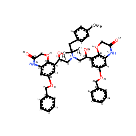 COc1ccc(CC(C)(C)N(CC(O)c2cc(OCc3ccccc3)cc3c2OCC(=O)N3)CC(O)c2cc(OCc3ccccc3)cc3c2OCC(=O)N3)cc1